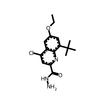 CCOc1cc(C(C)(C)C)c2nc(C(=O)NN)cc(Cl)c2c1